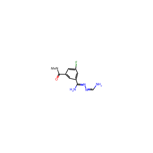 CNC(=O)c1cc(F)cc(/C(N)=N/N=C\N)c1